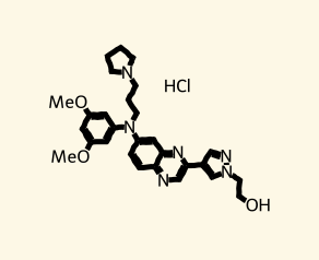 COc1cc(OC)cc(N(CCCN2CCCC2)c2ccc3ncc(-c4cnn(CCO)c4)nc3c2)c1.Cl